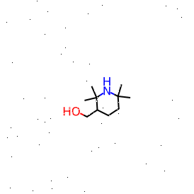 CC1(C)CCC(CO)C(C)(C)N1